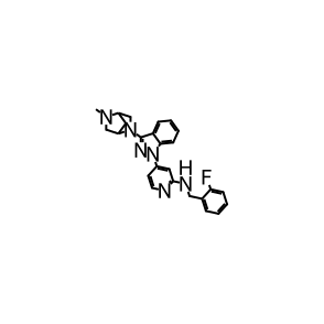 CN1CC2CC1CN2c1nn(-c2ccnc(NCc3ccccc3F)c2)c2ccccc12